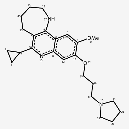 COc1cc2c3c(c(C4CC4)nc2cc1OCCCN1CCCC1)CCCCN3